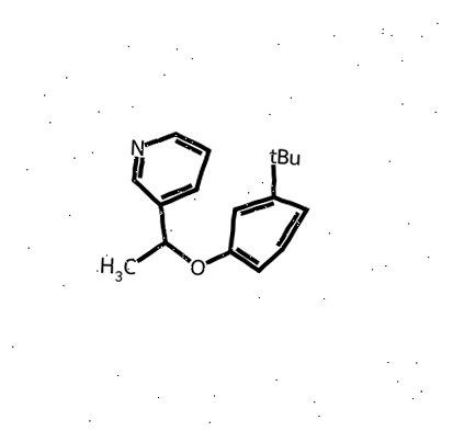 CC(Oc1cccc(C(C)(C)C)c1)c1cccnc1